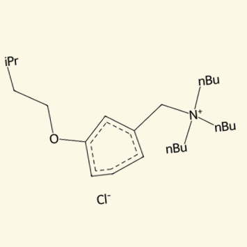 CCCC[N+](CCCC)(CCCC)Cc1cccc(OCCC(C)C)c1.[Cl-]